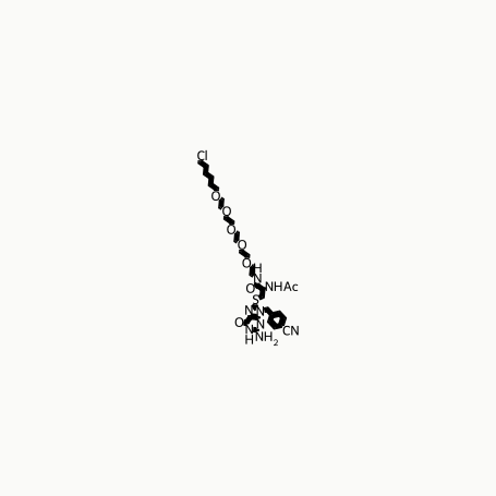 CC(=O)N[C@@H](CSc1nc2c(=O)[nH]c(N)nc2n1Cc1ccc(C#N)cc1)C(=O)NCCOCCOCCOCCOCCOCCCCCCCl